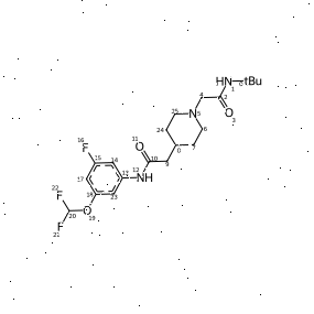 CC(C)(C)NC(=O)CN1CCC(CC(=O)Nc2cc(F)cc(OC(F)F)c2)CC1